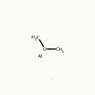 COC.[Al]